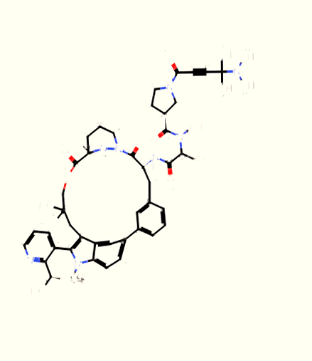 CO[C@@H](C)c1ncccc1-c1c2c3cc(ccc3n1C)-c1cccc(c1)C[C@H](NC(=O)C(C(C)C)N(C)C(=O)[C@H]1CCN(C(=O)C#CC(C)(C)N(C)C)C1)C(=O)N1CCC[C@H](N1)C(=O)OCC(C)(C)C2